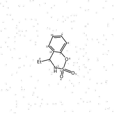 CCC1NS(=O)(=O)Oc2ccccc21